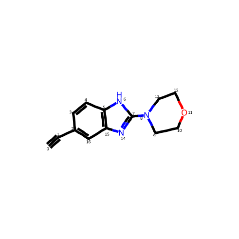 C#Cc1ccc2[nH]c(N3CCOCC3)nc2c1